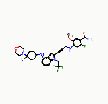 COc1cc(C(N)=O)c(F)cc1NCC#Cc1cc2c(NC3CCC(C)(N4CCOCC4)CC3)cccc2n1CC(F)(F)F